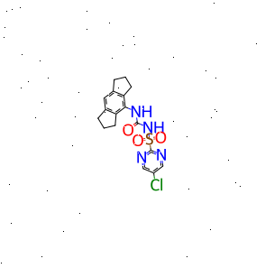 O=C(Nc1c2c(cc3c1CCC3)CCC2)NS(=O)(=O)c1ncc(Cl)cn1